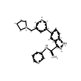 C=C(Nc1cccnc1)c1n[nH]c2ccc(-c3cncc(CN4CCCC4)c3)cc12